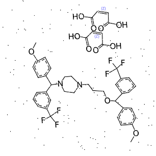 COc1ccc(C(OCCCN2CCN(C(c3ccc(OC)cc3)c3cccc(C(F)(F)F)c3)CC2)c2cccc(C(F)(F)F)c2)cc1.O=C(O)/C=C\C(=O)O.O=C(O)/C=C\C(=O)O